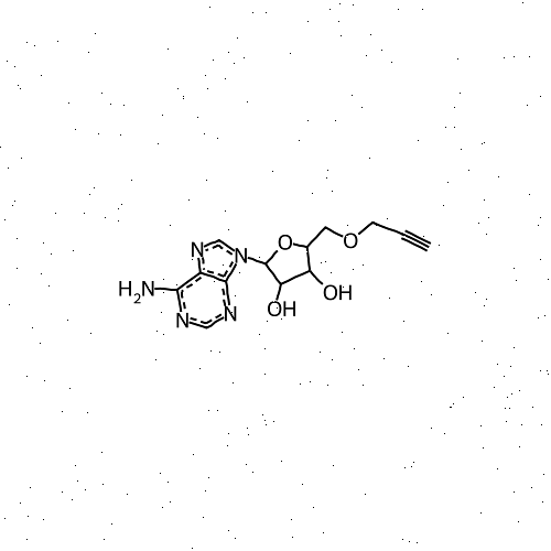 C#CCOCC1OC(n2cnc3c(N)ncnc32)C(O)C1O